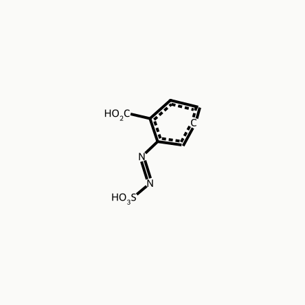 O=C(O)c1ccccc1N=NS(=O)(=O)O